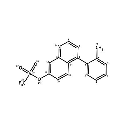 Cc1ccccc1-c1ccnc2cc(OS(=O)(=O)C(F)(F)F)ccc12